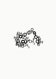 CCc1ccc2c(P(C)(C)=O)c(Nc3nc(Nc4cc(CC)c(N5CCC(N6CCN(C(=O)[C@@H]7CCN(C8=CC(F)C(C9CCC(=O)NC9=O)C(F)=C8)C7)CC6)CC5)cc4OC)ncc3Br)ccc2n1